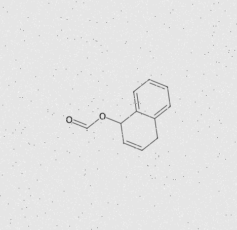 O=[C]OC1C=CCc2ccccc21